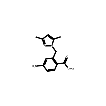 COC(=O)c1ccc(N)cc1Cn1nc(C)cc1C